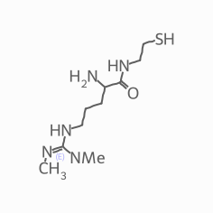 C/N=C(\NC)NCCCC(N)C(=O)NCCS